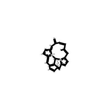 C=C1/C=C\C(C)=C\c2ccc3n2[C@@]2(C)C4=C(C=CC4=C3)C=c3cc/c(n32)=C/1